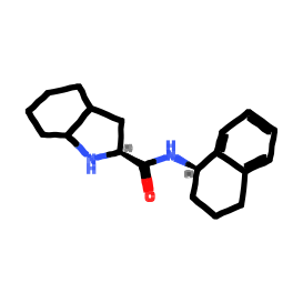 O=C(N[C@@H]1CCCc2ccccc21)[C@@H]1CC2CCCCC2N1